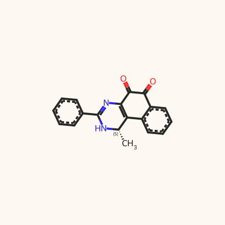 C[C@@H]1NC(c2ccccc2)=NC2=C1c1ccccc1C(=O)C2=O